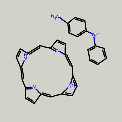 C1=Cc2cc3ccc(cc4nc(cc5ccc(cc1n2)[nH]5)C=C4)[nH]3.Nc1ccc(Nc2ccccc2)cc1